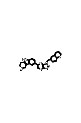 CN1CCc2[nH]c3ccc(-c4cnc5nnn(Cc6ccc7ncccc7c6)c5n4)cc3c2C1